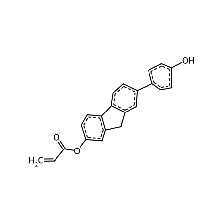 C=CC(=O)Oc1ccc2c(c1)Cc1cc(-c3ccc(O)cc3)ccc1-2